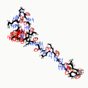 CCCCC(NC(=O)C1CCCN1C(=O)CNC(=O)CNC(=O)C(C)(CC)CC(C)(CC(C)(CCC)C(=O)NCC(=O)NCC(=O)N1CCCC1C(=O)NC(CCCC)C(=O)NCCCC(O)(P(=O)(O)O)P(=O)(O)O)C(=O)NCC(C)O)C(=O)NCCNCC(=O)NC(=O)O[C@@H]1CC[C@]2(CO2)[C@@H]([C@]2(C)OC2CC=C(C)C)[C@@H]1OC